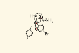 Cc1ccc(CC(=O)N2C[C@H]3CO[C@@H](C2)C3Oc2ccc(Br)cc2C(N)=O)cc1